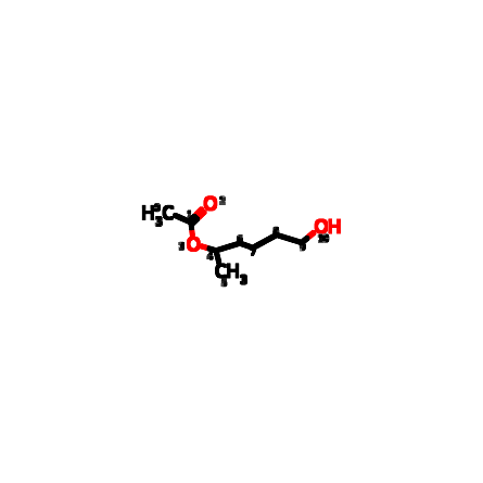 CC(=O)OC(C)CCCCO